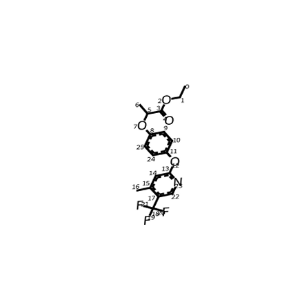 CCOC(=O)C(C)Oc1ccc(Oc2cc(C)c(C(F)(F)F)cn2)cc1